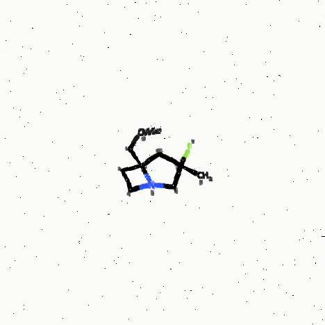 COC[C@]12CCN1C[C@@](C)(F)C2